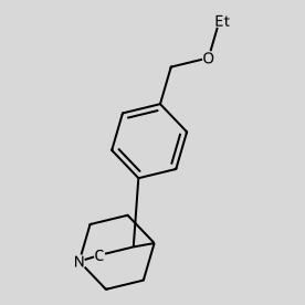 CCOCc1ccc(C2CN3CCC2CC3)cc1